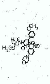 COC(=O)CN(C)c1cc(-c2cccc(OC)c2)nn(-c2cc(N3CCOCC3)ccc2[N+](=O)[O-])c1=O